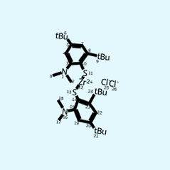 CN(C)c1cc(C(C)(C)C)cc(C(C)(C)C)c1[S][Zr+2][S]c1c(N(C)C)cc(C(C)(C)C)cc1C(C)(C)C.[Cl-].[Cl-]